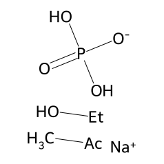 CC(C)=O.CCO.O=P([O-])(O)O.[Na+]